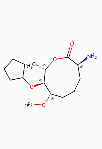 CCCO[C@H]1CCC[C@H](N)C(=O)O[C@@H](C)[C@@H]1OC1CCCC1